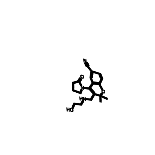 CC1(C)Oc2ccc(C#N)cc2C(N2CCCC2=O)=C1CNCCO